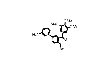 COc1cc(C(=O)c2cc(-c3cccc(N)c3)ccc2CC(C)=O)cc(OC)c1OC